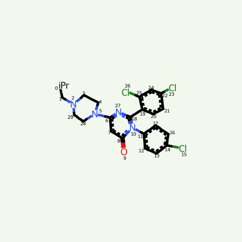 CC(C)CN1CCN(c2cc(=O)n(-c3ccc(Cl)cc3)c(-c3ccc(Cl)cc3Cl)n2)CC1